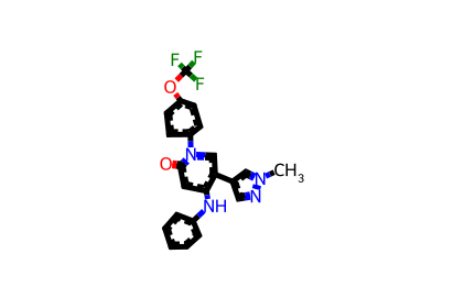 Cn1cc(-c2cn(-c3ccc(OC(F)(F)F)cc3)c(=O)cc2Nc2ccccc2)cn1